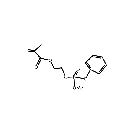 C=C(C)C(=O)OCCOP(=O)(OC)Oc1ccccc1